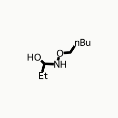 CCCCCONC(O)CC